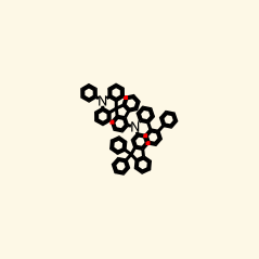 c1ccc(-c2ccccc2-c2ccccc2N(c2ccc3c(c2)C(c2ccccc2)(c2ccccc2)c2ccccc2-3)c2cccc3c2-c2ccccc2C32c3ccccc3N(c3ccccc3)c3ccccc32)cc1